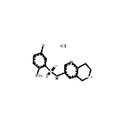 COc1ccc(Br)cc1S(=O)(=O)Nc1cnc2c(c1)CNCC2.Cl